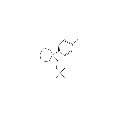 CC(C)(C)CCC1(c2ccc(F)cc2)CCCCC1